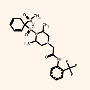 CC1CN(CC(=O)Nc2ccccc2C(F)(F)F)CC(C)N1S(=O)(=O)C1(S(C)(=O)=O)C=CC=CC1